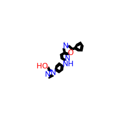 CN1Cc2ccc(Nc3ccc(-n4ccnc4CO)cc3)nc2OC(c2ccccc2)C1